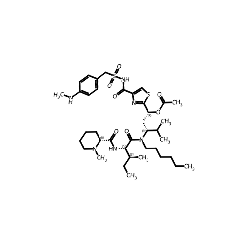 CCCCCCN(C(=O)[C@@H](NC(=O)[C@H]1CCCCN1C)[C@@H](C)CC)[C@H](C[C@@H](OC(C)=O)c1nc(C(=O)NS(=O)(=O)Cc2ccc(NC)cc2)cs1)C(C)C